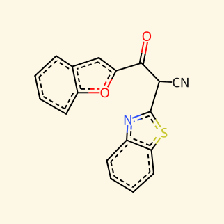 N#CC(C(=O)c1cc2ccccc2o1)c1nc2ccccc2s1